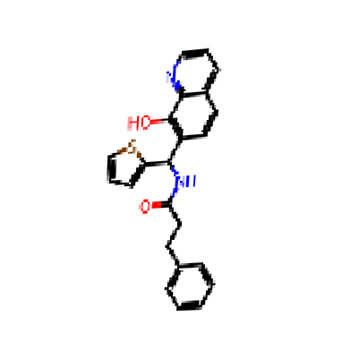 O=C(CCc1ccccc1)NC(c1cccs1)c1ccc2cccnc2c1O